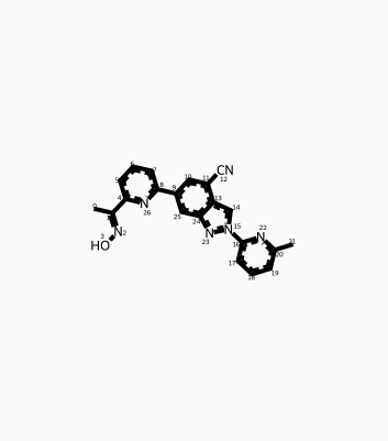 CC(=NO)c1cccc(-c2cc(C#N)c3cn(-c4cccc(C)n4)nc3c2)n1